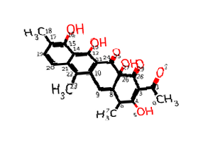 CC(=O)C1=C(O)C(C)C2Cc3c(c(O)c4c(O)c(C)ccc4c3C)C(=O)C2(O)C1=O